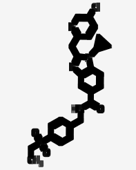 CCS(=O)(=O)c1ccc(CNC(=O)c2ccc3c(c2)nc(Cc2ccc(Cl)cn2)n3C2CC2)cc1